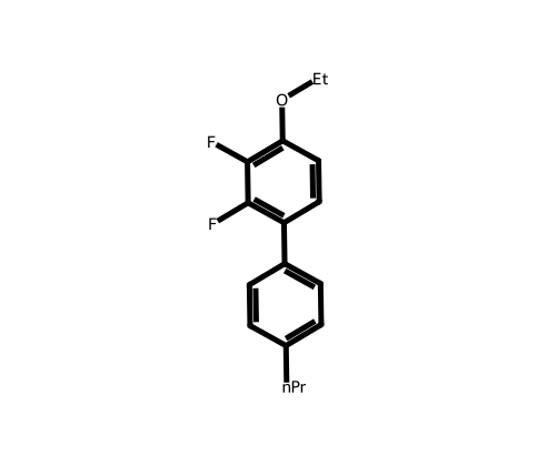 CCCc1ccc(-c2ccc(OCC)c(F)c2F)cc1